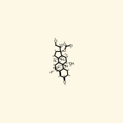 CCC(=O)O[C@]1(C(=O)CCl)CC[C@H]2[C@@H]3C[C@@H](F)C4=CC(=O)CC[C@]4(CO)[C@H]3[C@@H](O)C[C@@]21C